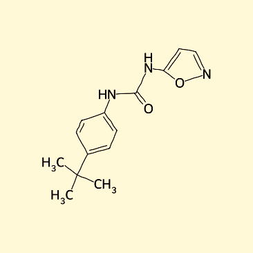 CC(C)(C)c1ccc(NC(=O)Nc2ccno2)cc1